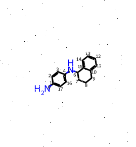 Nc1ccc(NC2CCCc3ccccc32)cc1